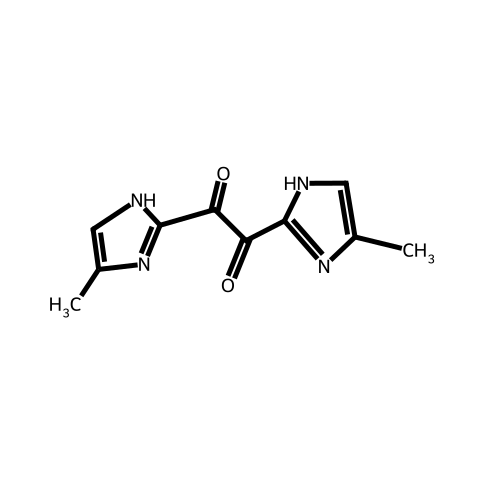 Cc1c[nH]c(C(=O)C(=O)c2nc(C)c[nH]2)n1